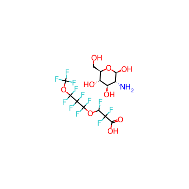 N[C@@H]1[C@@H](O)[C@H](O)[C@@H](CO)O[C@H]1O.O=C(O)C(F)(F)C(F)OC(F)(F)C(F)(F)C(F)(F)OC(F)(F)F